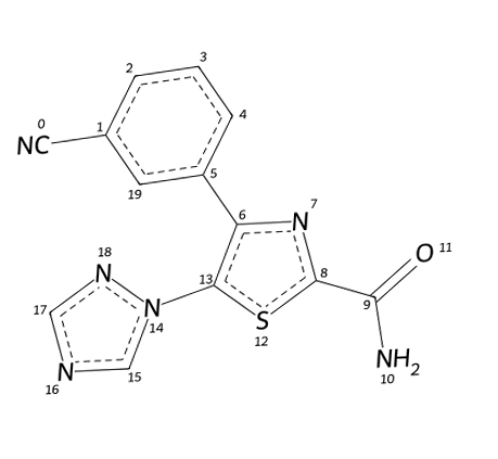 N#Cc1cccc(-c2nc(C(N)=O)sc2-n2cncn2)c1